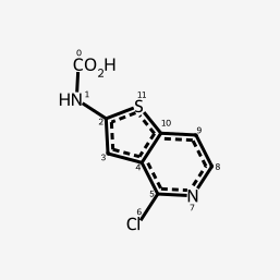 O=C(O)Nc1cc2c(Cl)nccc2s1